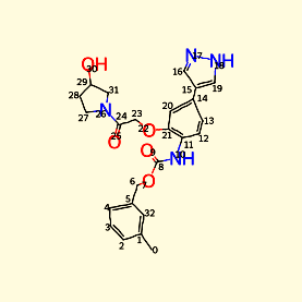 Cc1cccc(COC(=O)Nc2ccc(-c3cn[nH]c3)cc2OCC(=O)N2CCC(O)C2)c1